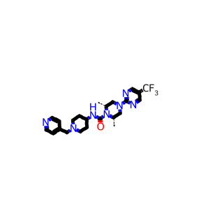 C[C@@H]1CN(c2ncc(C(F)(F)F)cn2)C[C@H](C)N1C(=O)NC1CCN(Cc2ccncc2)CC1